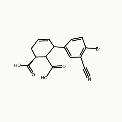 N#Cc1cc(C2C=CC[C@H](C(=O)O)C2C(=O)O)ccc1Br